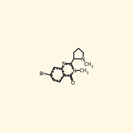 CN1CCCC1c1nc2cc(Br)ccc2c(=O)n1C